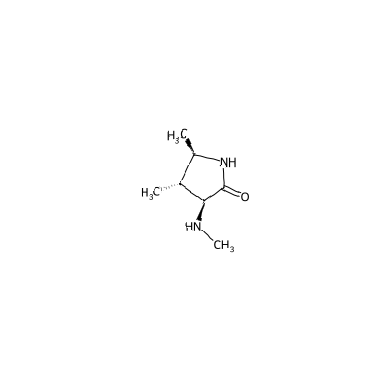 CN[C@@H]1C(=O)N[C@H](C)[C@H]1C